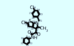 Cc1c(C(=O)C(=O)Nc2ccccc2)c2cc(Cl)sc2n1Cc1ccc(Cl)cc1